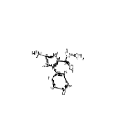 COC(=O)c1nc(N)sc1-c1ccncc1